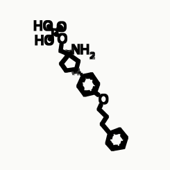 N[C@]1(COP(=O)(O)O)CC[C@@H](c2ccc(OCCCc3ccccc3)cc2)C1